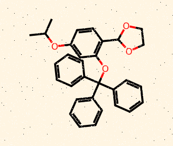 CC(C)Oc1c[c]c(C2OCCO2)c(OC(c2ccccc2)(c2ccccc2)c2ccccc2)c1